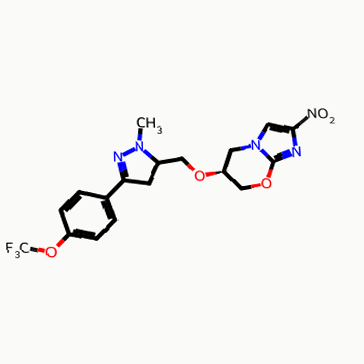 CN1N=C(c2ccc(OC(F)(F)F)cc2)CC1CO[C@@H]1COc2nc([N+](=O)[O-])cn2C1